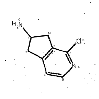 NC1Cc2ccnc(Cl)c2C1